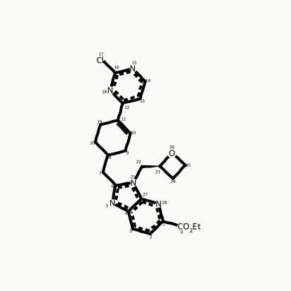 CCOC(=O)c1ccc2nc(CC3CC=C(c4ccnc(Cl)n4)CC3)n(C[C@@H]3CCO3)c2n1